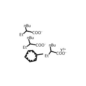 CCCCC(CC)C(=O)[O-].CCCCC(CC)C(=O)[O-].CCCCC(CC)C(=O)[O-].Cc1ccccc1.[Y+3]